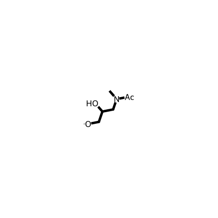 CC(=O)N(C)CC(O)C[O]